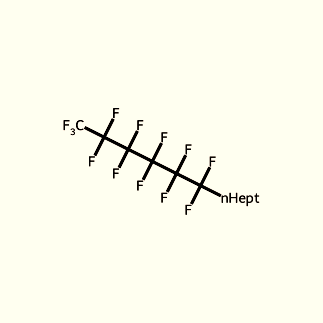 CCCCCCCC(F)(F)C(F)(F)C(F)(F)C(F)(F)C(F)(F)C(F)(F)F